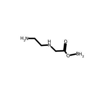 BOC(=O)CNCCN